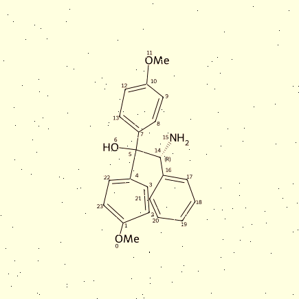 COc1ccc(C(O)(c2ccc(OC)cc2)[C@H](N)c2ccccc2)cc1